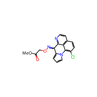 COC(=O)CO/N=c1/c2nccc3ccc(Cl)c(c32)n2cccc12